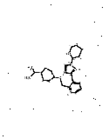 CC(C)[C@H]1CC[C@@H](OCc2ncccc2-c2ncn(C3CCCCO3)n2)CC1